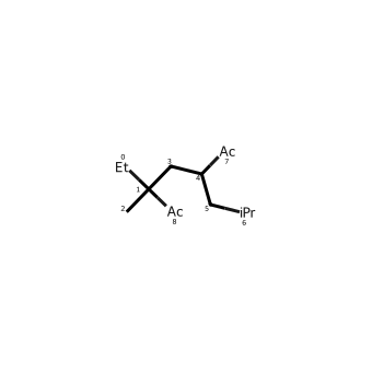 [CH2]CC(C)(CC(CC(C)C)C(C)=O)C(C)=O